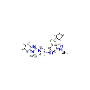 Cn1nc(-c2ccccc2Cl)c2ccc(NC3CCN(c4nc5ccccc5n4C(F)F)CC3)cc21